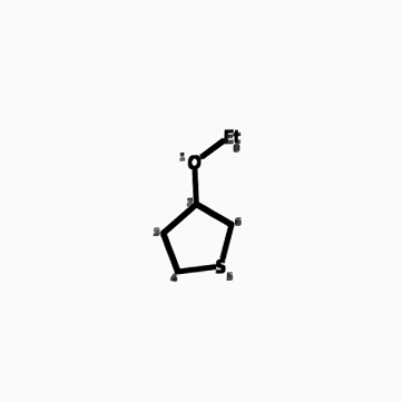 CCOC1CCSC1